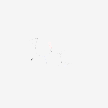 C=C(C(=O)N(C)[C@@H](C)C1CC1)/C(=C\CC)CC